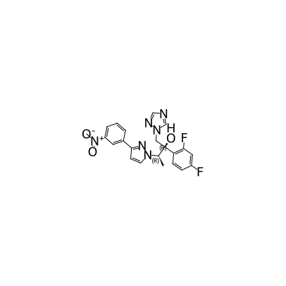 C[C@@H](n1ccc(-c2cccc([N+](=O)[O-])c2)n1)[C@](O)(Cn1cncn1)c1ccc(F)cc1F